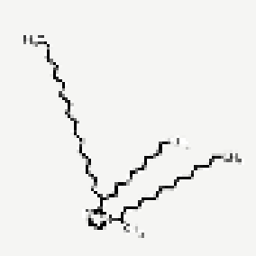 CCCCCCCCCCCCCCCCCC(CCCCCCCCC)c1nccn1C(C)CCCCCCCCCCCC